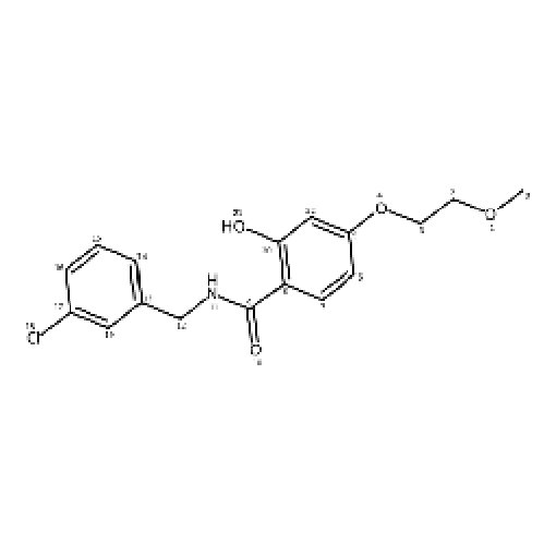 COCCOc1ccc(C(=O)NCc2cccc(Cl)c2)c(O)c1